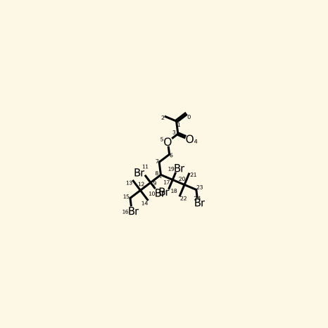 C=C(C)C(=O)OCC[C](C(Br)(Br)C(C)(C)CBr)C(Br)(Br)C(C)(C)CBr